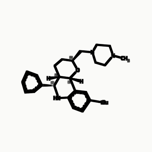 CN1CCN(C[C@@H]2CC[C@H]3[C@@H](c4ccccc4)Nc4ccc(C(C)(C)C)cc4[C@H]3O2)CC1